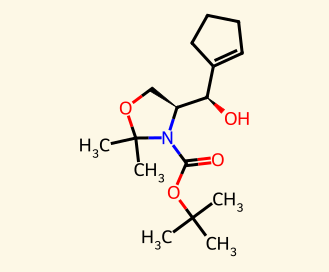 CC(C)(C)OC(=O)N1[C@H]([C@H](O)C2=CCCC2)COC1(C)C